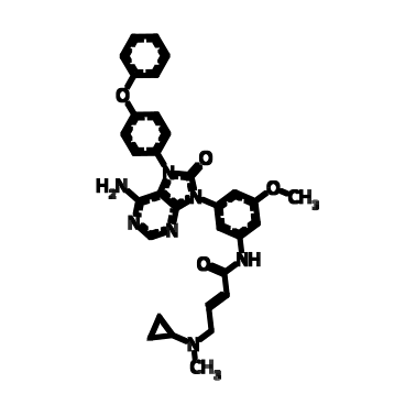 COc1cc(NC(=O)C=CCN(C)C2CC2)cc(-n2c(=O)n(-c3ccc(Oc4ccccc4)cc3)c3c(N)ncnc32)c1